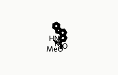 COC(=O)c1nc[nH]c2c1ccc1ccc3c4ccccc4cc3c12